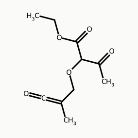 CCOC(=O)C(OCC(C)=C=O)C(C)=O